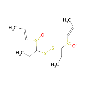 CC=C[S+]([O-])C(CC)SSC(CC)[S+]([O-])/C=C/C